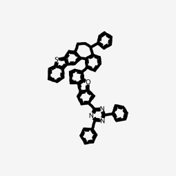 c1ccc(-c2nc(-c3ccccc3)nc(-c3ccc4c(c3)oc3c(-c5cccc6c5-c5cc7c(cc5CCC6c5ccccc5)sc5ccccc57)cccc34)n2)cc1